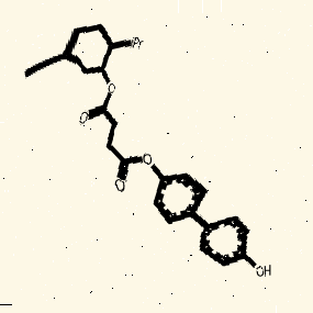 CC1CCC(C(C)C)C(OC(=O)CCC(=O)Oc2ccc(-c3ccc(O)cc3)cc2)C1